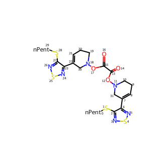 CCCCCSc1nsnc1C1=CCCN(OC(=O)C(=O)ON2CCC=C(c3nsnc3SCCCCC)C2)C1